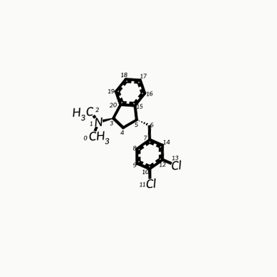 CN(C)[C@@H]1C[C@@H](Cc2ccc(Cl)c(Cl)c2)c2ccccc21